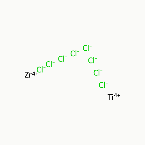 [Cl-].[Cl-].[Cl-].[Cl-].[Cl-].[Cl-].[Cl-].[Cl-].[Ti+4].[Zr+4]